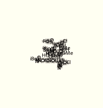 CCC(C)n1ncn(-c2ccc(N3CCN(c4ccc(OC[C@H]5CO[C@](Cn6cncn6)(c6ccc(Cl)cc6Cl)O5)cc4)CC3)cc2)c1=O.COc1cc([C@@H]2c3cc4c(cc3C(O[C@@H]3O[C@@H]5COC(c6cccs6)O[C@H]5[C@H](O)[C@H]3O)C3COC(=O)[C@@H]32)OCO4)cc(OC)c1O.O=C(CCCN1CCC(O)(c2ccc(Cl)cc2)CC1)c1ccc(F)cc1